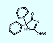 COC1=NC(=O)C(c2ccccc2)(c2ccccc2)N1